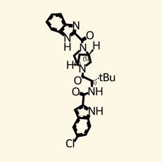 CC(C)(C)[C@H](NC(=O)c1cc2cc(Cl)ccc2[nH]1)C(=O)N1C[C@@H]2C[C@H]1CN2C(=O)c1nc2ccccc2[nH]1